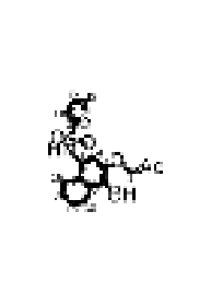 CC(=O)COc1cc(NS(=O)(=O)c2cccs2)c2ccccc2c1O